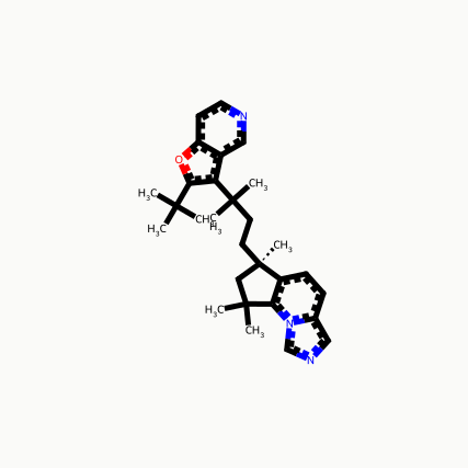 CC(C)(C)c1oc2ccncc2c1C(C)(C)CC[C@]1(C)CC(C)(C)c2c1ccc1cncn21